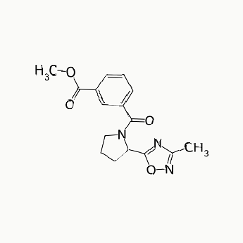 COC(=O)c1cccc(C(=O)N2CCCC2c2nc(C)no2)c1